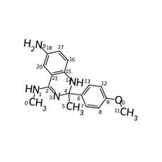 CNC1=NC(C)(c2ccc(OC)cc2)Nc2ccc(N)cc21